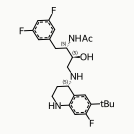 CC(=O)N[C@@H](Cc1cc(F)cc(F)c1)[C@@H](O)CN[C@H]1CCNc2cc(F)c(C(C)(C)C)cc21